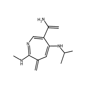 C=C(N)C1=CN=C(NC)C(=C)C=C1NC(C)C